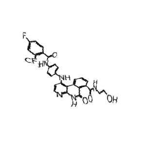 O=C(Nc1ccc(Nc2ccnc3[nH]c(=O)c4c(C(=O)NCCO)cccc4c23)cc1)c1ccc(F)cc1C(F)(F)F